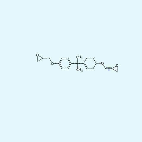 CC(C)(C1=CCC(O/C=C2/CO2)C=C1)c1ccc(OCC2CO2)cc1